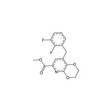 COC(=O)c1cc(Cc2cccc(F)c2F)c2c(n1)OCCO2